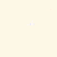 C=CCc1cc(C)ccc1NCCCO